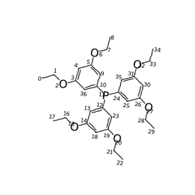 CCOc1cc(OCC)cc(P(c2cc(OCC)cc(OCC)c2)c2cc(OCC)cc(OCC)c2)c1